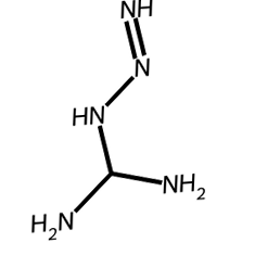 N=NNC(N)N